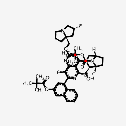 CC(C)(C)OC(=O)N1[C@H]2CC[C@@H]1[C@@H](CO)N(c1nc(OC[C@@]34CCCN3C[C@H](F)C4)nc3c(F)c(-c4cc(OC(=O)C(C)(C)C)cc5ccccc45)nc(Cl)c13)C2